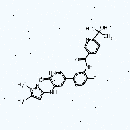 Cc1cc(Nc2cc(-c3ccc(F)c(NC(=O)c4ccc(C(C)(C)O)nc4)c3)n[nH]c2=O)nn1C